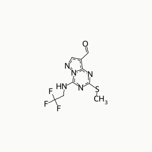 CSc1nc(NCC(F)(F)F)n2ncc(C=O)c2n1